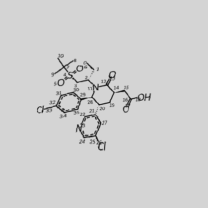 CC[C@@H](CS(=O)(=O)C(C)(C)C)N1C(=O)[C@@H](CC(=O)O)C[C@H](c2cncc(Cl)c2)[C@H]1c1ccc(Cl)cc1